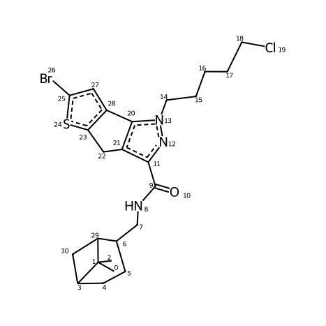 CC1(C)C2CCC(CNC(=O)c3nn(CCCCCCl)c4c3Cc3sc(Br)cc3-4)C1C2